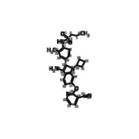 CCCS(=O)(=O)Nc1ccc(-c2c(N)c3ccc(Oc4ncccc4C#N)cc3n2C2CCC2)cc1C